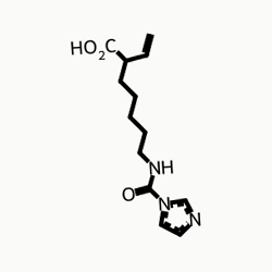 C=CC(CCCCCNC(=O)n1ccnc1)C(=O)O